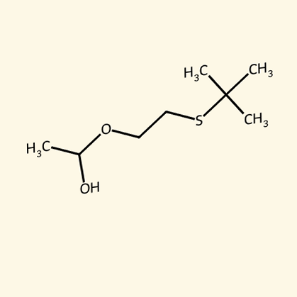 CC(O)OCCSC(C)(C)C